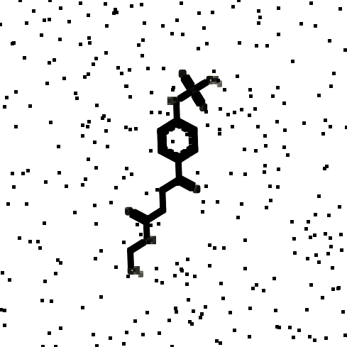 CCNC(=O)CCC(=O)c1ccc(NS(C)(=O)=O)cc1